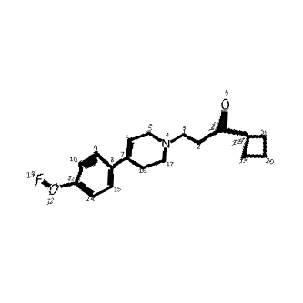 O=C(CCN1CC=C(c2ccc(OF)cc2)CC1)C1CCC1